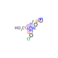 CC(Cn1c(=O)[nH]/c(=N\c2ccc(Oc3cccnn3)c(F)c2)n(Cc2ccc(Cl)cc2)c1=O)C(=O)O